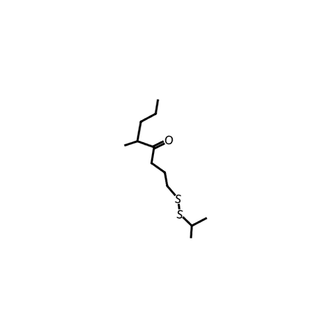 CCCC(C)C(=O)CCCSSC(C)C